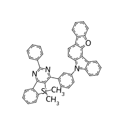 C[Si]1(C)c2ccccc2-c2nc(-c3ccccc3)nc(-c3cccc(-n4c5ccccc5c5c6oc7ccccc7c6ccc54)c3)c21